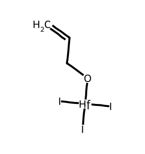 C=CC[O][Hf]([I])([I])[I]